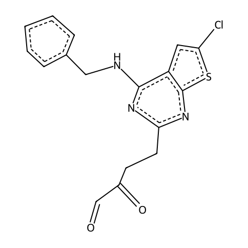 O=CC(=O)CCc1nc(NCc2ccccc2)c2cc(Cl)sc2n1